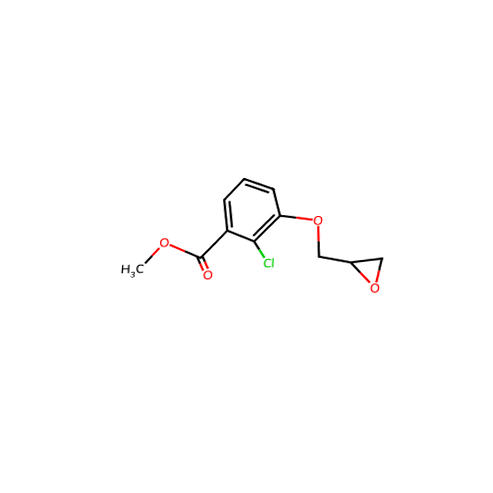 COC(=O)c1cccc(OCC2CO2)c1Cl